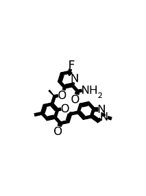 Cc1cc([C@@H](C)Oc2ccc(F)nc2C(N)=O)c2oc(-c3ccc4nn(C)cc4c3)cc(=O)c2c1